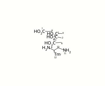 CC(=O)O.CC(=O)O.CC(=O)O.CC(=O)O.NCCN.[Tm]